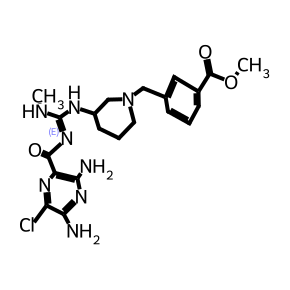 CN/C(=N\C(=O)c1nc(Cl)c(N)nc1N)NC1CCCN(Cc2cccc(C(=O)OC)c2)C1